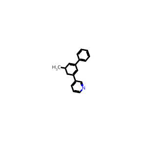 CC1C=C(c2ccccc2)C=C(c2cccnc2)C1